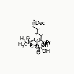 CCCCCCCCCCCCCCC(CCC)C(C[N+](C)(C)C)OP(=O)(O)O